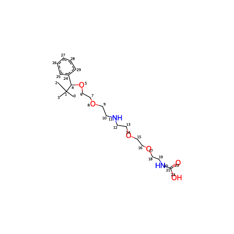 CC(C)(C)C(OCCOCCNCCOCCOCCNC(=O)O)c1ccccc1